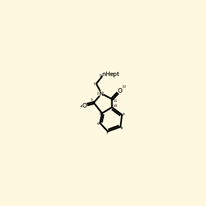 [CH2]CCCCCCCN1C(=O)c2ccccc2C1=O